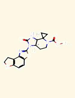 CC(C)(C)OC(=O)N1CC[C@@H]2[C@@H](NC(=O)N2c2nc3c4c(ccc3s2)OCC4)C12CC2